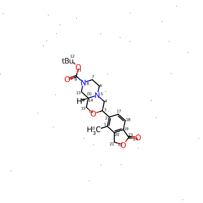 Cc1c(C2CN3CCN(C(=O)OC(C)(C)C)C[C@H]3CO2)ccc2c1COC2=O